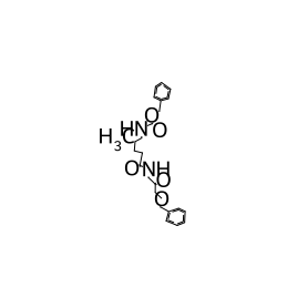 CC(CCC(=O)NCC(=O)COCc1ccccc1)CNC(=O)OCc1ccccc1